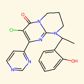 CC(c1ccccc1O)N1CCCn2c1nc(-c1ccncn1)c(Cl)c2=O